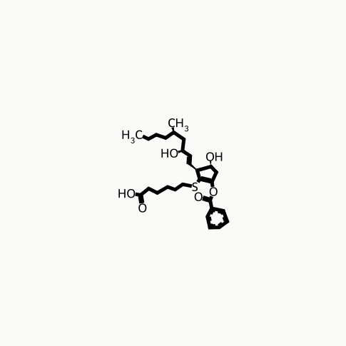 CCCC[C@@H](C)C[C@H](O)/C=C/[C@@H]1C(SCCCCCC(=O)O)=C(OC(=O)c2ccccc2)C[C@H]1O